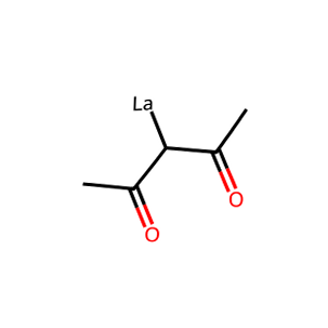 CC(=O)[CH]([La])C(C)=O